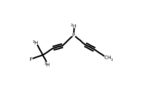 [2H]P(C#CC)C#CC([3H])([3H])F